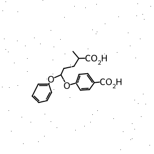 CC(CCC(Oc1ccccc1)Oc1ccc(C(=O)O)cc1)C(=O)O